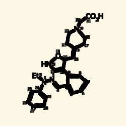 CCN(N=Cc1ccccc1C1=CNOC1C=C1CCN(CC(=O)O)CC1)c1ccncc1